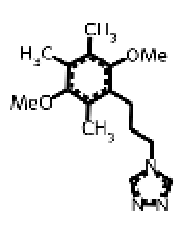 COc1c(C)c(C)c(OC)c(CCCn2cnnc2)c1C